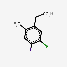 O=C(O)Cc1cc(F)c(I)cc1C(F)(F)F